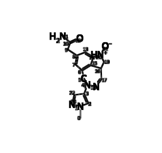 Cn1cc(N2Cc3cc(CC(N)=O)cc4c3C(C=N2)C[NH+]4[O-])cn1